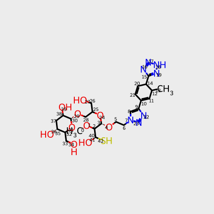 COC([C@@H](OCCn1cc(C2=CC(C)C(c3nn[nH]n3)C=C2)nn1)OC(CO)CO[C@@H]1OC(CO)[C@H](O)CC1O)[C@H](O)S